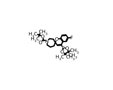 CC(C)(C)OC(=O)N1CCCC2(C=C(P3OC(C)(C)C(C)(C)O3)c3cc(F)ccc3O2)CC1